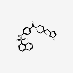 O=C(c1ccc(N[SH](=O)(P)c2cccc3nccnc23)cc1)N1CCC(O)(Cc2cc[nH]n2)CC1